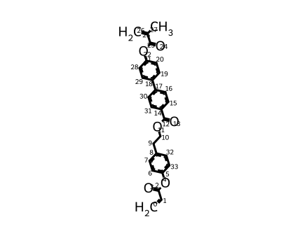 C=CC(=O)Oc1ccc(CCOC(=O)c2ccc(-c3ccc(OC(=O)C(=C)C)cc3)cc2)cc1